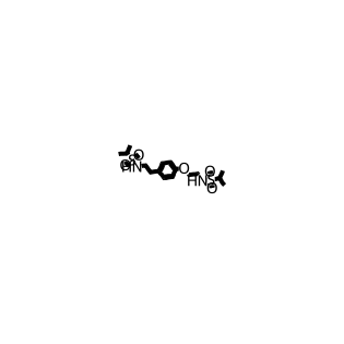 CC(C)S(=O)(=O)NCCOc1ccc(CCNS(=O)(=O)C(C)C)cc1